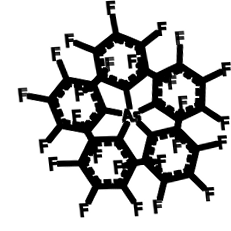 Fc1c(F)c(F)c([As](c2c(F)c(F)c(F)c(F)c2F)(c2c(F)c(F)c(F)c(F)c2F)(c2c(F)c(F)c(F)c(F)c2F)c2c(F)c(F)c(F)c(F)c2F)c(F)c1F